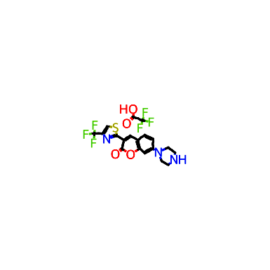 O=C(O)C(F)(F)F.O=c1oc2cc(N3CCNCC3)ccc2cc1-c1nc(C(F)(F)F)cs1